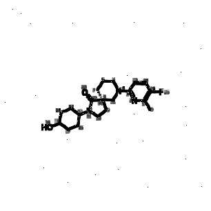 Cc1nc(N2CCC[C@@]3(CCN(C4CCC(O)CC4)C3=O)C2)ccc1F